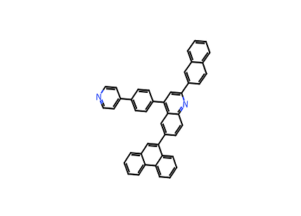 c1ccc2cc(-c3cc(-c4ccc(-c5ccncc5)cc4)c4cc(-c5cc6ccccc6c6ccccc56)ccc4n3)ccc2c1